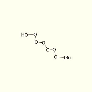 CC(C)(C)OOOOOOO